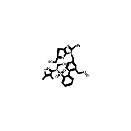 CCCc1nc2ccc(CC#N)nc2n1Cc1ccc(-c2ccccc2S(=O)(=O)N(COC)c2noc(C)c2C)c(COCC)c1